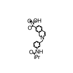 CC(C)C(=O)Nc1cccc(CN2C=Cc3ccc(C(=O)[N+](=O)O)cc3C2)c1